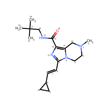 CN1CCn2c(/C=C/C3CC3)nc(C(=O)NCC(C)(C)C)c2C1